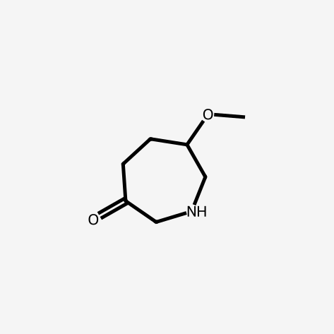 COC1CCC(=O)CNC1